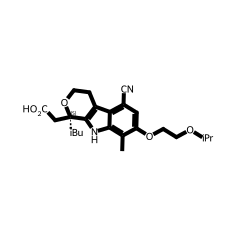 CCC(C)[C@]1(CC(=O)O)OCCc2c1[nH]c1c(C)c(OCCOC(C)C)cc(C#N)c21